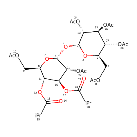 CC(=O)OC[C@H]1O[C@H](O[C@H]2O[C@H](COC(C)=O)[C@@H](OC(=O)C(C)C)[C@H](OC(=O)C(C)C)[C@H]2OC(C)=O)[C@H](OC(C)=O)[C@@H](OC(C)=O)[C@@H]1OC(C)=O